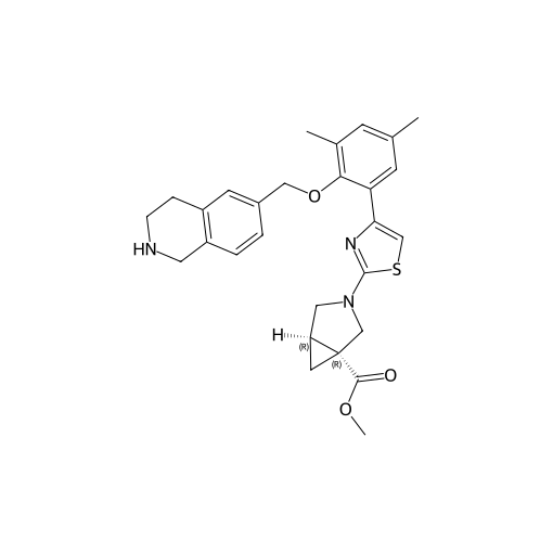 COC(=O)[C@]12C[C@H]1CN(c1nc(-c3cc(C)cc(C)c3OCc3ccc4c(c3)CCNC4)cs1)C2